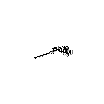 CCCCCCCCCCCOc1cccc(-c2ccnc(N[C@@H]3CCC[C@@H]3OP(=O)(O)O)c2)c1